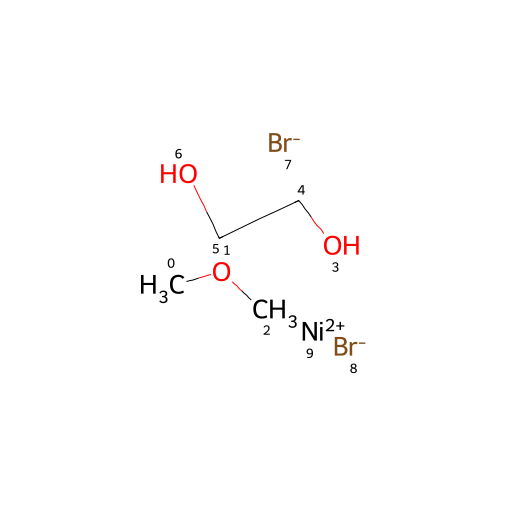 COC.OCCO.[Br-].[Br-].[Ni+2]